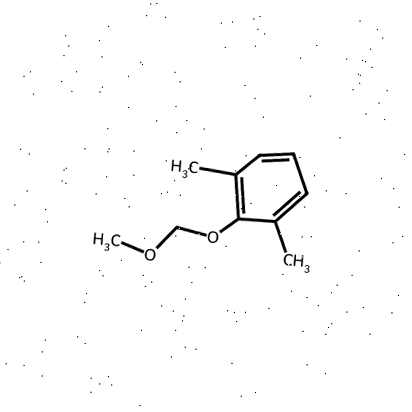 COCOc1c(C)cccc1C